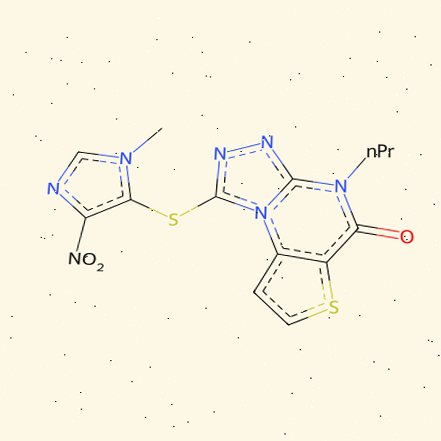 CCCn1c(=O)c2sccc2n2c(Sc3c([N+](=O)[O-])ncn3C)nnc12